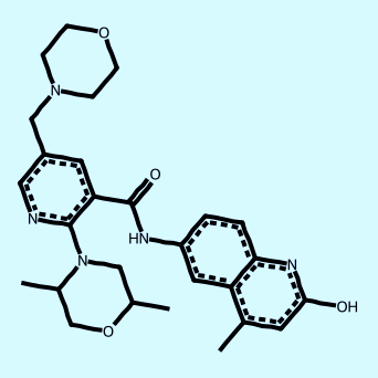 Cc1cc(O)nc2ccc(NC(=O)c3cc(CN4CCOCC4)cnc3N3CC(C)OCC3C)cc12